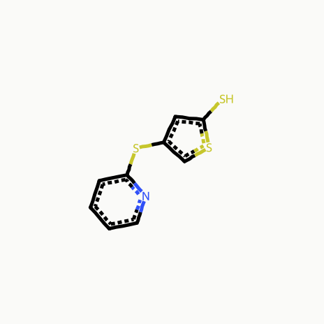 Sc1cc(Sc2ccccn2)cs1